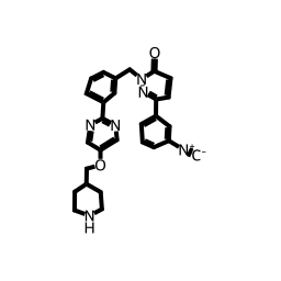 [C-]#[N+]c1cccc(-c2ccc(=O)n(Cc3cccc(-c4ncc(OCC5CCNCC5)cn4)c3)n2)c1